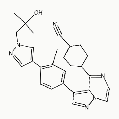 Cc1cc(-c2cnn3ccnc(C4CCC(C#N)CC4)c23)ccc1-c1cnn(CC(C)(C)O)c1